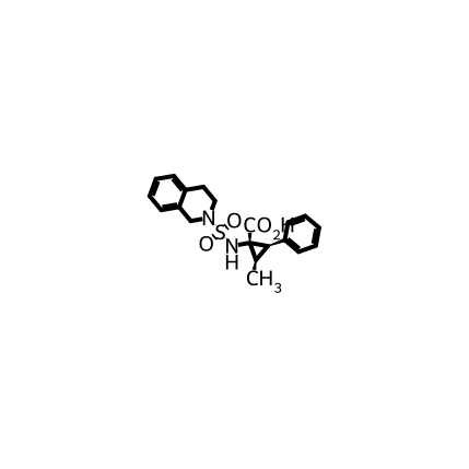 C[C@@H]1[C@H](c2ccccc2)[C@]1(NS(=O)(=O)N1CCc2ccccc2C1)C(=O)O